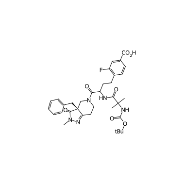 CN1N=C2CCN(C(=O)C(CCc3ccc(C(=O)O)cc3F)NC(=O)C(C)(C)NC(=O)OC(C)(C)C)C[C@@]2(Cc2ccccc2)C1=O